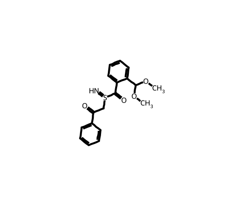 COC(OC)c1ccccc1C(=O)S(=N)CC(=O)c1ccccc1